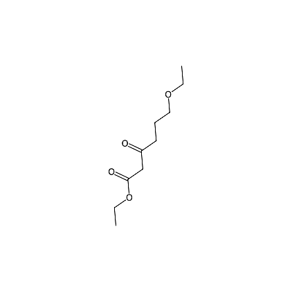 CCOCCCC(=O)CC(=O)OCC